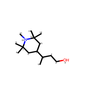 CC(CCO)C1CC(C)(C)N(C)C(C)(C)C1